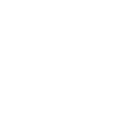 Nc1ncn(CC(=O)Nc2ccc(-n3ccccc3=O)cc2F)n1